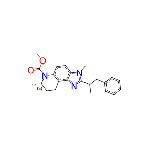 COC(=O)N1c2ccc3c(nc(C(C)Cc4ccccc4)n3C)c2CC[C@@H]1C